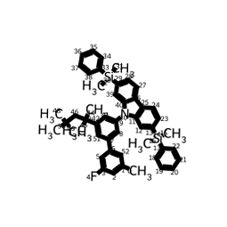 Cc1cc(F)cc(-c2cc(-n3c4cc([Si](C)(C)c5ccccc5)ccc4c4ccc([Si](C)(C)c5ccccc5)cc43)cc(C(C)(C)CC(C)(C)C)c2)c1